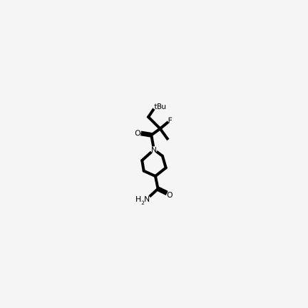 CC(C)(C)CC(C)(F)C(=O)N1CCC(C(N)=O)CC1